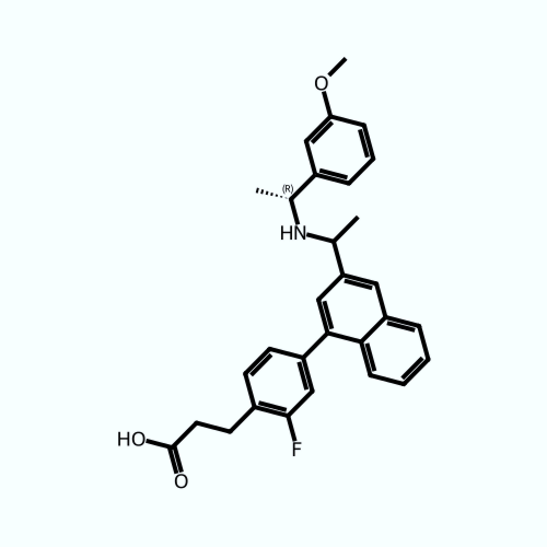 COc1cccc([C@@H](C)NC(C)c2cc(-c3ccc(CCC(=O)O)c(F)c3)c3ccccc3c2)c1